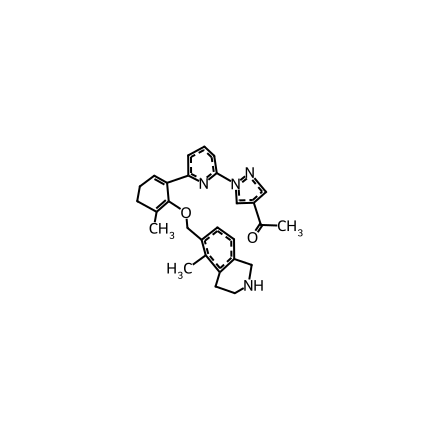 CC(=O)c1cnn(-c2cccc(C3=CCCC(C)=C3OCc3ccc4c(c3C)CCNC4)n2)c1